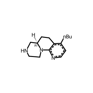 CCCCc1ccnc2c1CC[C@@H]1CNCCN21